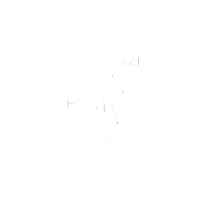 CCCCC[CH2][InH2].Cl.Cl